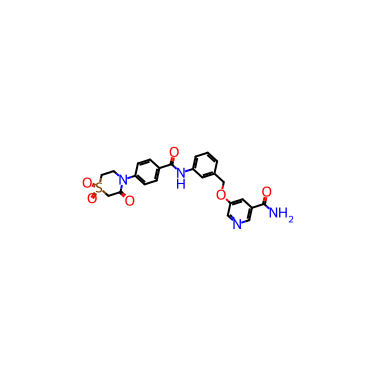 NC(=O)c1cncc(OCc2cccc(NC(=O)c3ccc(N4CCS(=O)(=O)CC4=O)cc3)c2)c1